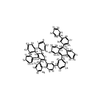 c1ccc(-c2cc(-c3cccc(-c4cccc(-c5c6ccccc6c(-c6cccc(-c7ccccn7)c6)c6ccccc56)c4)c3)c(-c3ccccc3)c(-c3ccccc3)c2-c2ccccc2)cc1